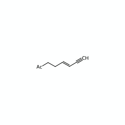 C#CC=CCCC(C)=O